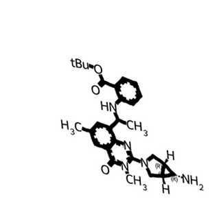 Cc1cc(C(C)Nc2ccccc2C(=O)OC(C)(C)C)c2nc(N3C[C@@H]4[C@H](N)[C@@H]4C3)n(C)c(=O)c2c1